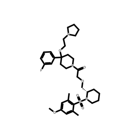 COc1cc(C)c(S(=O)(=O)N2CCCC[C@H]2COCC(=O)N2CCC(OCCN3CCCC3)(c3cccc(F)c3)CC2)c(C)c1